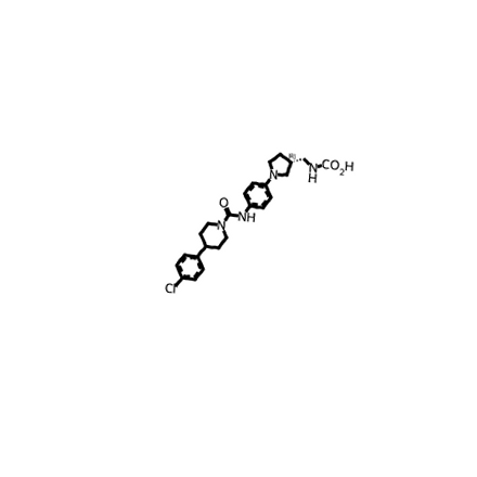 O=C(O)NC[C@H]1CCN(c2ccc(NC(=O)N3CCC(c4ccc(Cl)cc4)CC3)cc2)C1